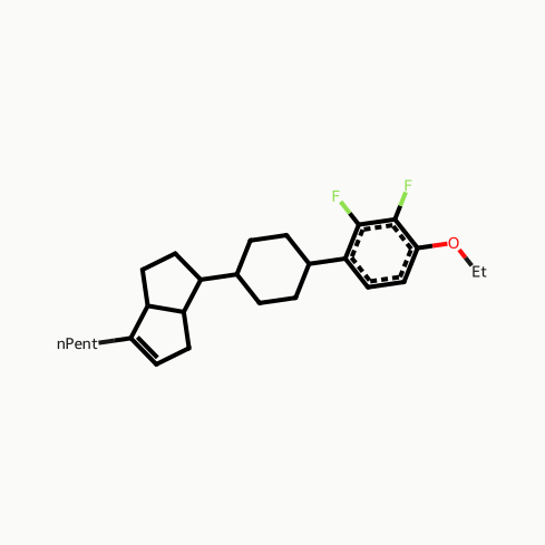 CCCCCC1=CCC2C1CCC2C1CCC(c2ccc(OCC)c(F)c2F)CC1